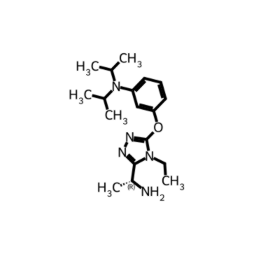 CCn1c(Oc2cccc(N(C(C)C)C(C)C)c2)nnc1[C@@H](C)N